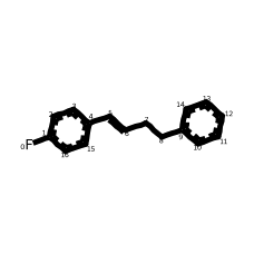 Fc1ccc(C=CCCc2ccccc2)cc1